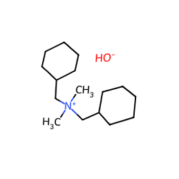 C[N+](C)(CC1CCCCC1)CC1CCCCC1.[OH-]